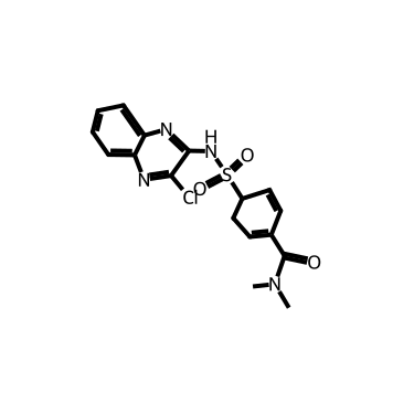 CN(C)C(=O)C1=CCC(S(=O)(=O)Nc2nc3ccccc3nc2Cl)C=C1